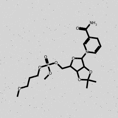 COCCCOP(=O)(OC)OCC1OC(N2C=CCC(C(N)=O)=C2)C2OC(C)(C)OC12